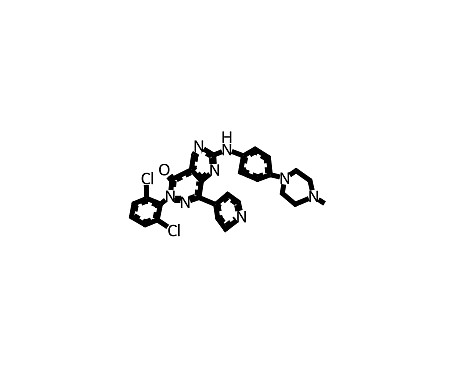 CN1CCN(c2ccc(Nc3ncc4c(=O)n(-c5c(Cl)cccc5Cl)nc(-c5ccncc5)c4n3)cc2)CC1